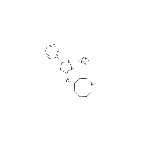 C.C.c1ccc(-c2nnc(O[C@H]3CCCCNCC3)s2)cc1